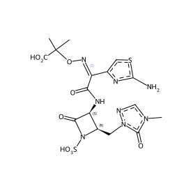 Cn1cnn(C[C@@H]2[C@H](NC(=O)/C(=N\OC(C)(C)C(=O)O)c3csc(N)n3)C(=O)N2S(=O)(=O)O)c1=O